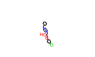 OC(COc1ccc(Cl)cc1)CN1CCN(Cc2ccccc2)CC1